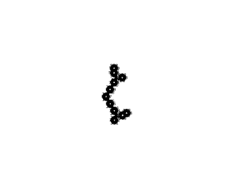 c1ccc(N(c2ccc(-c3ccc(-c4cccc(-c5ccc(-c6ccc(N(c7ccccc7)c7ccc8ccccc8c7)cc6)cc5)c4)cc3)cc2)c2ccc3ccccc3c2)cc1